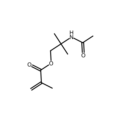 C=C(C)C(=O)OCC(C)(C)NC(C)=O